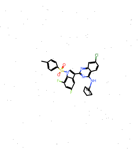 Cc1ccc(S(=O)(=O)n2cc(-c3nc(NC4CC5CCC4CC5)c4ccc(Cl)cc4n3)c3cc(F)cc(F)c32)cc1